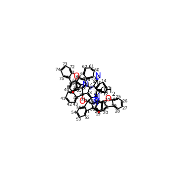 C=C(C#N)/C(C#N)=C(\C1=C(N(c2ccccc2)c2cccc3c2oc2ccccc23)C2(OC13c1ccccc1-c1ccccc13)c1ccccc1-c1ccccc12)N(c1ccccc1)c1cccc2c1oc1ccccc12